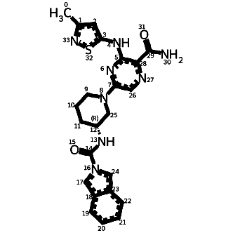 Cc1cc(Nc2nc(N3CCC[C@@H](NC(=O)n4cc5ccccc5c4)C3)cnc2C(N)=O)sn1